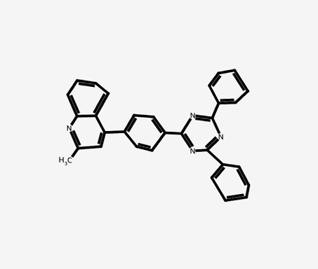 Cc1cc(-c2ccc(-c3nc(-c4ccccc4)nc(-c4ccccc4)n3)cc2)c2ccccc2n1